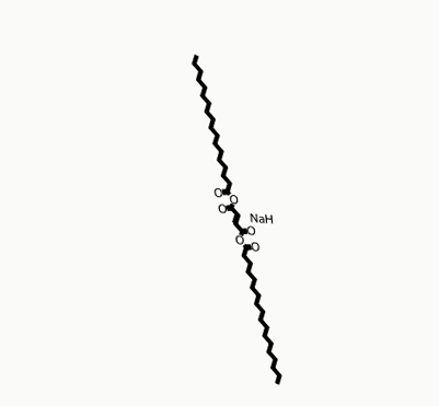 CCCCCCCCCCCCCCCCCC(=O)OC(=O)/C=C/C(=O)OC(=O)CCCCCCCCCCCCCCCCC.[NaH]